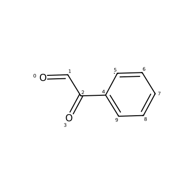 O=CC(=O)c1[c]cccc1